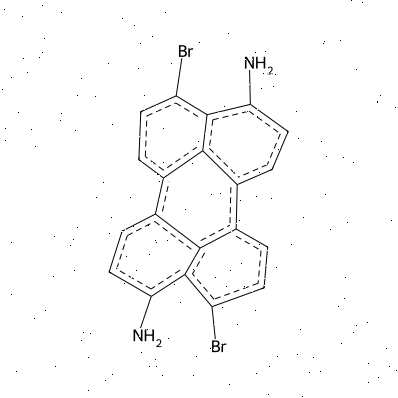 Nc1ccc2c3ccc(Br)c4c(N)ccc(c5ccc(Br)c1c25)c43